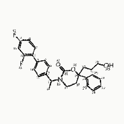 CC(c1ccc(-c2ccc(F)cc2F)cc1)N1CCC(CCCO)(c2ccccc2)OC1=O